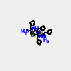 CCC(N)C(Cc1ccccc1)NC(CC)C(Cc1ccccc1)NC(CC)C(Cc1ccccc1)NC(CC)C(N)Cc1ccccc1